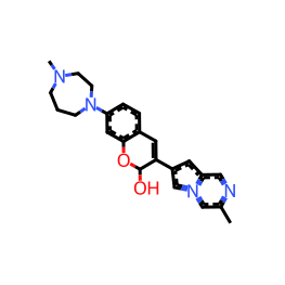 Cc1cn2cc(C3=Cc4ccc(N5CCCN(C)CC5)cc4OC3O)cc2cn1